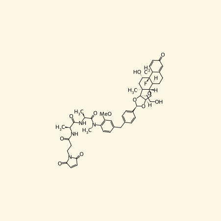 COc1cc(Cc2ccc([C@@H]3O[C@@H]4C[C@H]5[C@@H]6CCC7=CC(=O)C=C[C@]7(C)[C@@]6(F)[C@@H](O)C[C@]5(C)[C@]4(C(=O)CO)O3)cc2)ccc1N(C)C(=O)[C@H](C)NC(=O)[C@H](C)NC(=O)CCN1C(=O)C=CC1=O